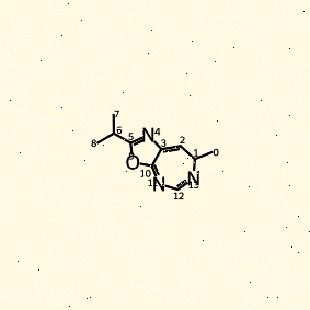 CC1C=c2nc(C(C)C)oc2=NC=N1